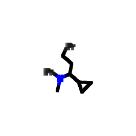 CC(C)CCC(C1CC1)N(C)C(C)C